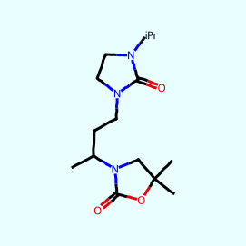 CC(C)N1CCN(CCC(C)N2CC(C)(C)OC2=O)C1=O